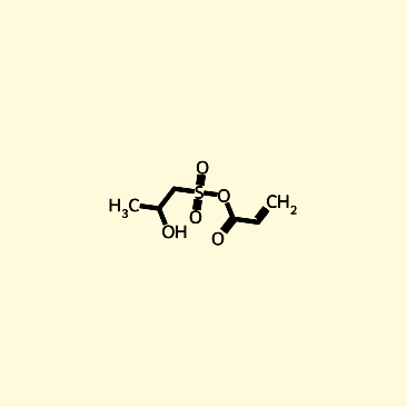 C=CC(=O)OS(=O)(=O)CC(C)O